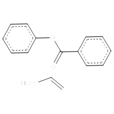 C=CC(=O)O.O=C(Oc1ccccc1)c1ccccc1